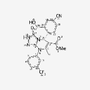 COC(=O)C1=C(C)N(c2cccc(C(F)(F)F)c2)c2n[nH]c(=O)n2[C@@H]1c1ccc(C#N)cc1CO